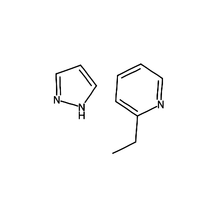 CCc1ccccn1.c1cn[nH]c1